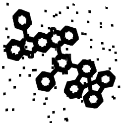 c1ccc(-c2nc(-c3cccc4c3-c3ccccc3C43c4ccccc4-c4ccccc43)nc(-n3c4ccccc4oc4cc5c(cc43)oc3ccccc3n5-c3ccccc3)n2)cc1